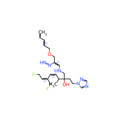 C=C/C=C/COC/C(=C/NCC(O)(CCn1cncn1)C(C)/C=C\C(=C/CF)CF)N=N